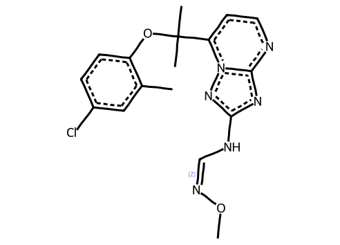 CO/N=C\Nc1nc2nccc(C(C)(C)Oc3ccc(Cl)cc3C)n2n1